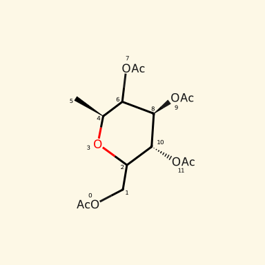 CC(=O)OCC1O[C@@H](C)C(OC(C)=O)[C@@H](OC(C)=O)[C@@H]1OC(C)=O